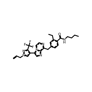 C=CCn1cc(-c2cnc3c(Cc4ccc(C(=O)NCCCC)c(CC)c4)nccn23)c(C(F)(F)F)n1